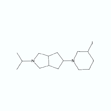 CC(C)N1CC2CC(N3CCCC(I)C3)CC2C1